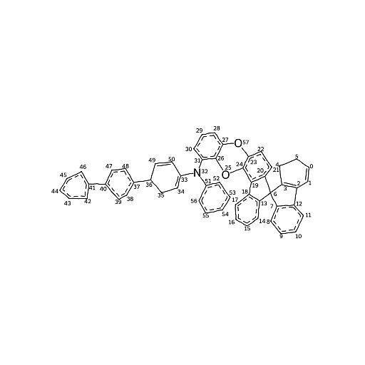 C1=CC2=C(CC1)C1(c3ccccc32)c2ccccc2-c2c1ccc1c2Oc2c(cccc2N(C2=CCC(c3ccc(-c4ccccc4)cc3)C=C2)c2ccccc2)O1